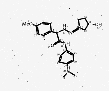 COc1ccc([C@@H](N/N=[N+]2\CC[C@H](O)C2)C(=O)Nc2ccc([SiH](C)C)cc2)cc1